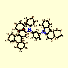 C1=Cc2ccc3c(c2CC1)c1ccccc1n3-c1cccc(N(c2ccc3c4ccccc4c4ccccc4c3c2)c2ccccc2-c2ccccc2)c1